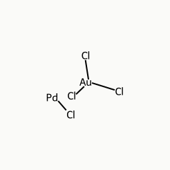 [Cl][Au]([Cl])[Cl].[Cl][Pd]